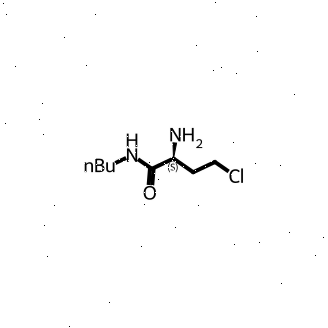 CCCCNC(=O)[C@@H](N)CCCl